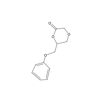 O=C1COCC(COc2ccccc2)O1